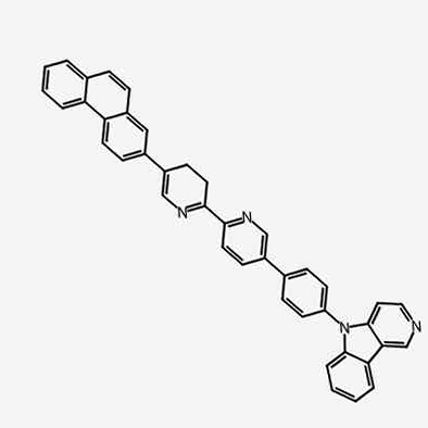 C1=C(c2ccc3c(ccc4ccccc43)c2)CCC(c2ccc(-c3ccc(-n4c5ccccc5c5cnccc54)cc3)cn2)=N1